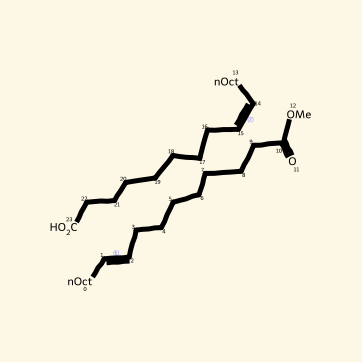 CCCCCCCC/C=C/CCCCCCCC(=O)OC.CCCCCCCC/C=C\CCCCCCCC(=O)O